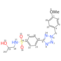 COc1ccc(Cn2nnc(-c3ccc(S(=O)(=O)NCC(C)O)cc3)n2)cc1